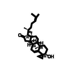 CC(C)=CCC[C@@H](C)[C@H]1C(=O)C[C@H]2[C@@H]3CC=C4C5(CC5)[C@@H](O)CC[C@]4(C)[C@H]3CC[C@]12C